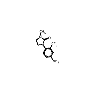 CN1CCN(c2ccc(N)cc2C(F)(F)F)C1=O